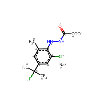 O=C([O-])C(=O)NNc1c(Cl)cc(C(F)(C(F)(F)F)C(F)(F)F)cc1C(F)(F)F.[Na+]